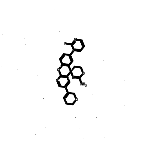 NC1=N[C@@]2(CCO1)c1cc(-c3cccnc3F)ccc1Oc1ncc(C3=CCCOC3)cc12